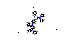 C1=CC(c2cc(-n3c4ccccc4c4ccccc43)nc(-c3ccccc3)n2)CC=C1n1c2ccccc2c2c3c4ccccc4n(-c4ccccc4)c3ccc21